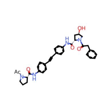 CC(=O)N1CCC[C@H]1C(=O)Nc1ccc(C#Cc2ccc(NC(=O)[C@@H]3C[C@@H](O)CN3C(=O)Cc3ccccc3)cc2)cc1